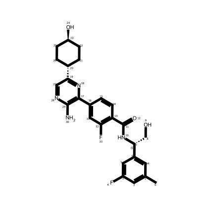 Cc1cc(F)cc([C@@H](CO)NC(=O)c2ccc(-c3nc([C@H]4CC[C@H](O)CC4)cnc3N)cc2F)c1